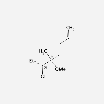 C=CCC[C@@](C)(OC)[C@H](O)CC